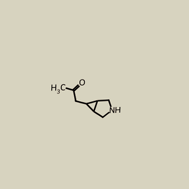 CC(=O)CC1C2CNCC21